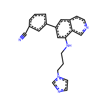 N#Cc1cccc(-c2cc(NCCCn3ccnc3)c3cnccc3c2)c1